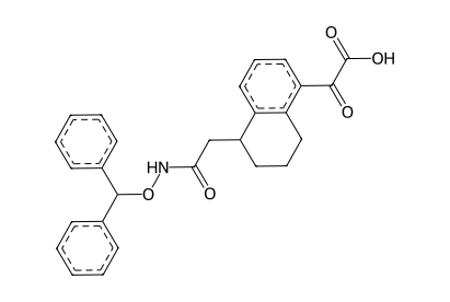 O=C(CC1CCCc2c(C(=O)C(=O)O)cccc21)NOC(c1ccccc1)c1ccccc1